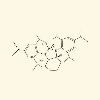 CC(C)c1cc(C(C)C)c(N2[C@@H]3CCCC[C@H]3N(c3c(C(C)C)cc(C(C)C)cc3C(C)C)P2(=O)O)c(C(C)C)c1